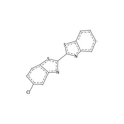 Clc1ccc2sc(-c3nc4c[c]ccc4s3)nc2c1